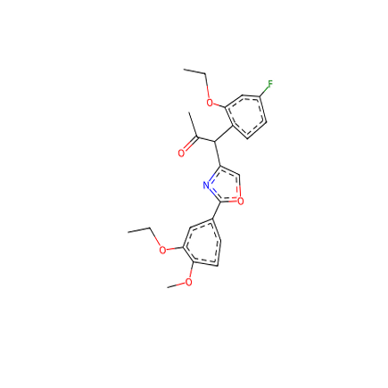 CCOc1cc(-c2nc(C(C(C)=O)c3ccc(F)cc3OCC)co2)ccc1OC